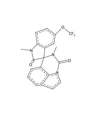 CN1C(=O)C2(c3cc(OC(F)(F)F)ccc31)c1cccc3ccn(c13)C(=O)N2C